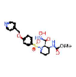 COC(=O)N[C@H]1CCCN(S(=O)(=O)c2ccc(OCc3ccncc3)cc2)[C@H]1C(=O)NO